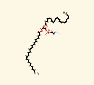 CC/C=C\C/C=C\C/C=C\C/C=C\C/C=C\C/C=C\CCC(=O)O[C@H](COC(=O)CCCCCCCCCCCCC/C=C\CCCCCCCC)COP(=O)(O)OCCN